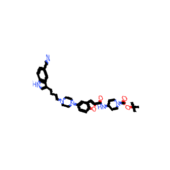 CC(C)(C)OC(=O)N1CCC(NC(=O)c2cc3cc(N4CCN(CCCCc5c[nH]c6ccc(C#N)cc56)CC4)ccc3o2)CC1